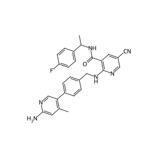 Cc1cc(N)ncc1-c1ccc(CNc2ncc(C#N)cc2C(=O)NC(C)c2ccc(F)cc2)cc1